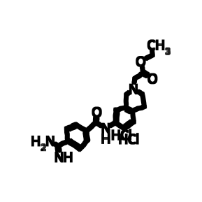 CCOC(=O)CN1CCc2ccc(NC(=O)c3ccc(C(=N)N)cc3)cc2C1.Cl.Cl